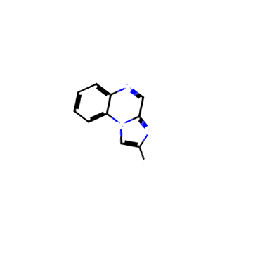 O=Cc1cn2c(cnc3ccccc32)n1